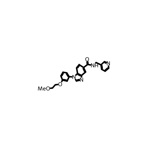 COCCOc1cccc(-n2cnc3cc(C(=O)NCc4cccnc4)ccc32)c1